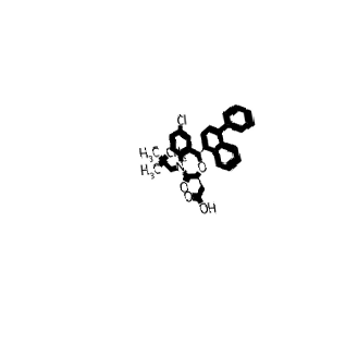 CC(C)(C)CN1C(=O)[C@H](CC(=O)O)O[C@@H](c2ccc(-c3ccccc3)c3ccccc23)c2cc(Cl)ccc21